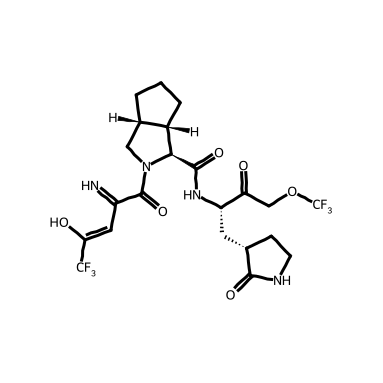 N=C(/C=C(\O)C(F)(F)F)C(=O)N1C[C@@H]2CCC[C@@H]2[C@H]1C(=O)N[C@@H](C[C@@H]1CCNC1=O)C(=O)COC(F)(F)F